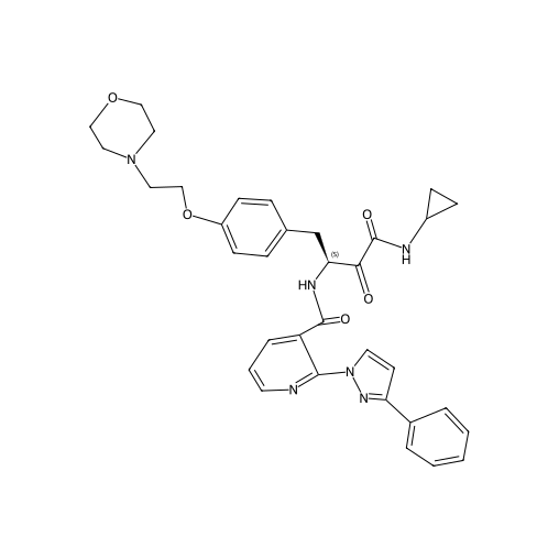 O=C(NC1CC1)C(=O)[C@H](Cc1ccc(OCCN2CCOCC2)cc1)NC(=O)c1cccnc1-n1ccc(-c2ccccc2)n1